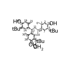 Cc1cc(O)c(C(C)(C)C)cc1C(C)CC(c1cc(C(C)(C)C)c(O)cc1C)c1cc(C(C)(C)C)c(O)cc1C.O